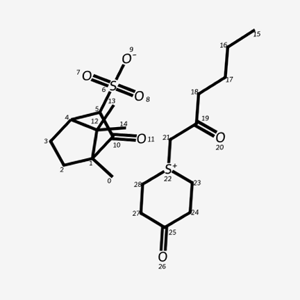 CC12CCC(C(S(=O)(=O)[O-])C1=O)C2(C)C.CCCCC(=O)C[S+]1CCC(=O)CC1